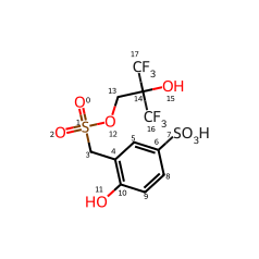 O=S(=O)(Cc1cc(S(=O)(=O)O)ccc1O)OCC(O)(C(F)(F)F)C(F)(F)F